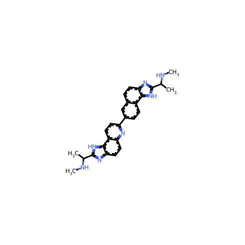 CNC(C)c1nc2ccc3cc(-c4ccc5c(ccc6nc(C(C)NC)[nH]c65)n4)ccc3c2[nH]1